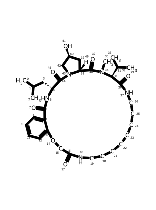 CC(C)C[C@H]1NC(=O)c2ccccc2OCC(=O)NCCCCCCCCNC(=O)[C@H](C(C)C)N(C)C(=O)[C@H]2C[C@H](O)CN2C1=O